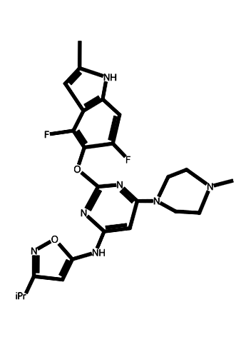 Cc1cc2c(F)c(Oc3nc(Nc4cc(C(C)C)no4)cc(N4CCN(C)CC4)n3)c(F)cc2[nH]1